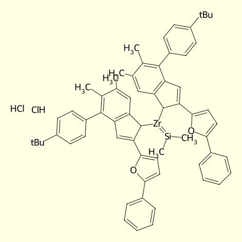 Cc1cc2c(c(-c3ccc(C(C)(C)C)cc3)c1C)C=C(c1ccc(-c3ccccc3)o1)[CH]2[Zr]([CH]1C(c2ccc(-c3ccccc3)o2)=Cc2c1cc(C)c(C)c2-c1ccc(C(C)(C)C)cc1)=[Si](C)C.Cl.Cl